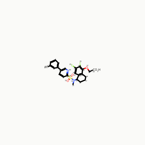 CC(C)c1cccc(-c2ccc(S(=O)(=O)N(C)C3CCCc4c3cc(F)c(F)c4OCC(=O)O)nc2)c1